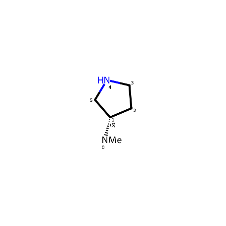 [CH2-][NH2+][C@H]1CCNC1